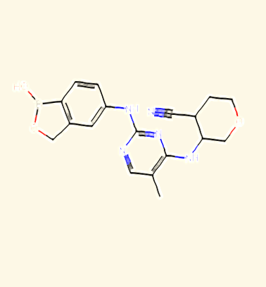 Cc1cnc(Nc2ccc3c(c2)COB3O)nc1NC1COCCC1C#N